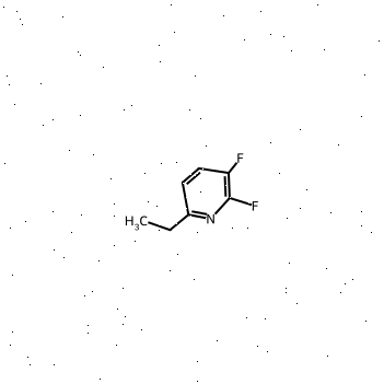 CCc1ccc(F)c(F)n1